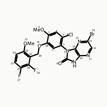 COc1cc(Cl)c(-n2c(=O)[nH]c3ncc(Br)nc32)cc1OCc1c(OC)ccc(F)c1F